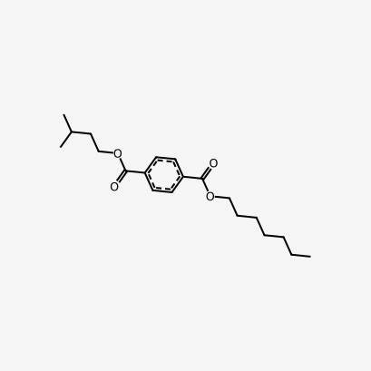 CCCCCCCOC(=O)c1ccc(C(=O)OCCC(C)C)cc1